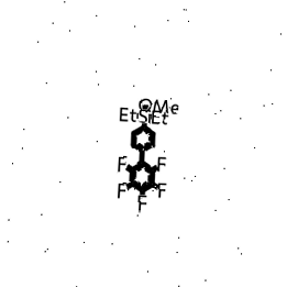 CC[Si](CC)(OC)c1ccc(-c2c(F)c(F)c(F)c(F)c2F)cc1